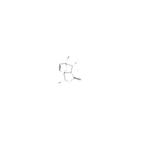 CC(=O)[C@H]1[C@H]2C(=O)N[C@@H](C)[C@@]23C=C[C@@]1(C)O3